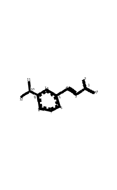 CC(C)/C=C/c1cccc(C(C)C)c1